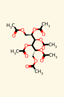 CC(=O)OC[C@@H](OC(C)=O)[C@@H](OC(C)=O)[C@H](OC(C)=O)[C@@H](COC(C)=O)OC(C)=O